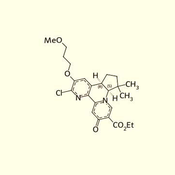 CCOC(=O)c1cn2c(cc1=O)-c1nc(Cl)c(OCCCOC)cc1[C@H]1CCC(C)(C)[C@H]12